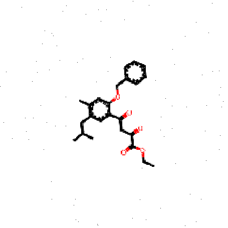 CCOC(=O)C(=O)CC(=O)c1cc(CC(C)C)c(C)cc1OCc1ccccc1